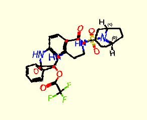 O=C(NC1C[C@H]2CC[C@@H](C1)N2S(=O)(=O)N1CCC(NCc2ccccc2)CC1)c1ccc2c(c1)C(OC(=O)C(F)(F)F)C(=O)N2